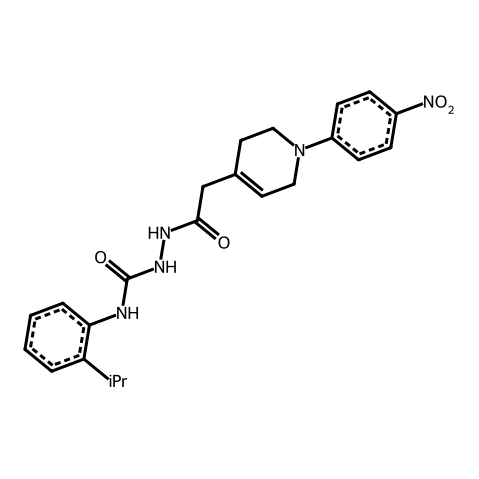 CC(C)c1ccccc1NC(=O)NNC(=O)CC1=CCN(c2ccc([N+](=O)[O-])cc2)CC1